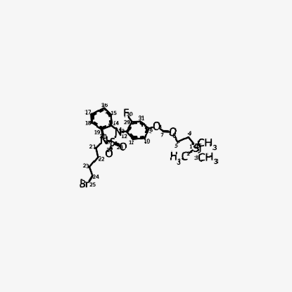 C[Si](C)(C)CCOCOc1ccc(N2c3ccccc3N(CCCCBr)S2(=O)=O)c(F)c1